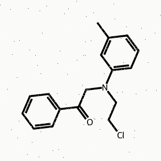 Cc1cccc(N(CCCl)CC(=O)c2ccccc2)c1